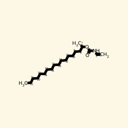 C=CNC(=O)OC(C)CCCCCCCCCCCCCCCC